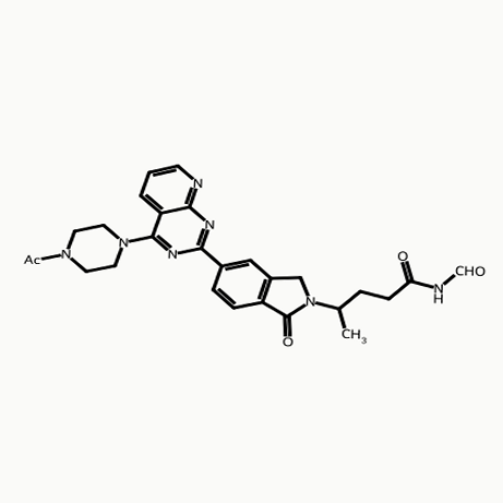 CC(=O)N1CCN(c2nc(-c3ccc4c(c3)CN(C(C)CCC(=O)NC=O)C4=O)nc3ncccc23)CC1